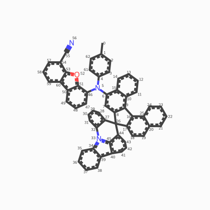 Cc1ccc(N(c2cc3c(c4ccccc24)-c2c(ccc4ccccc24)C32c3ccccc3-n3c4ccccc4c4cccc2c43)c2cccc3c2oc2c(C#N)cccc23)cc1